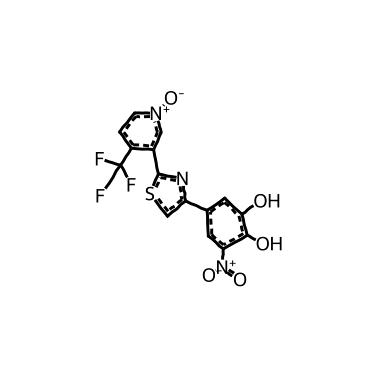 O=[N+]([O-])c1cc(-c2csc(-c3c[n+]([O-])ccc3C(F)(F)F)n2)cc(O)c1O